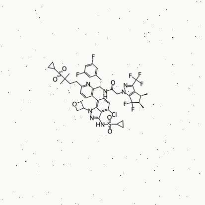 C[C@@H]1c2c(C(F)(F)F)nn(CC(=O)N[C@@H](Cc3cc(F)cc(F)c3)c3nc(CCC(C)(C)S(=O)(=O)C4CC4)ccc3-c3ccc(Cl)c4c(NS(=O)(=O)C5CC5)nn(C5COC5)c34)c2C(F)(F)[C@@H]1C